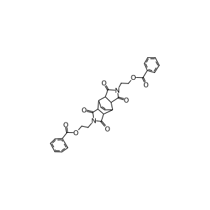 O=C(OCCN1C(=O)C2C3C=CC(C2C1=O)C1C(=O)N(CCOC(=O)c2ccccc2)C(=O)C31)c1ccccc1